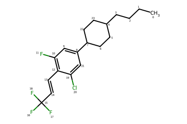 CCCCC1CCC(c2cc(F)c(/C=C/C(F)(F)F)c(Cl)c2)CC1